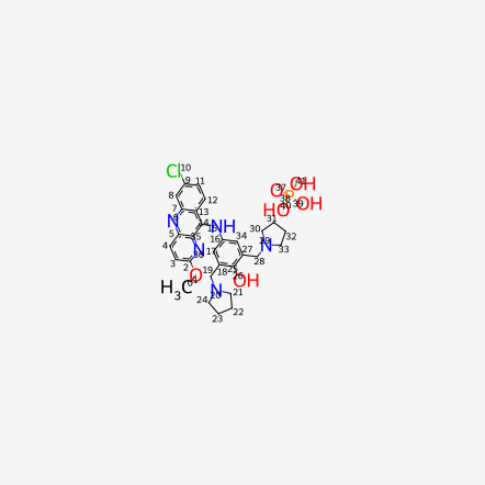 COc1ccc2nc3cc(Cl)ccc3c(Nc3cc(CN4CCCC4)c(O)c(CN4CCCC4)c3)c2n1.O=P(O)(O)O